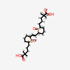 CC(C)(CCCC1CCCC(C=CC2CCCC(CCCC(C)(C)C(=O)O)[S+]2[O-])[S+]1[O-])C(=O)O